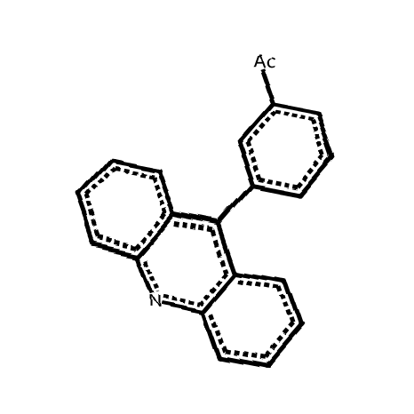 CC(=O)c1cccc(-c2c3ccccc3nc3ccccc23)c1